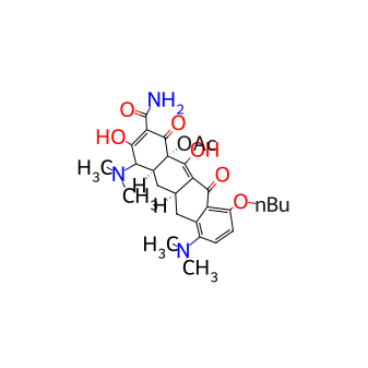 CCCCOc1ccc(N(C)C)c2c1C(=O)C1=C(O)[C@]3(OC(C)=O)C(=O)C(C(N)=O)=C(O)C(N(C)C)[C@@H]3C[C@@H]1C2